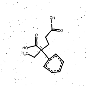 CCC(CCC(=O)O)(C(=O)O)c1ccccc1